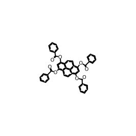 O=C(Oc1cc(OC(=O)c2ccccc2)c2ccc3c(OC(=O)c4ccccc4)cc(OC(=O)c4ccccc4)c4ccc1c2c43)c1ccccc1